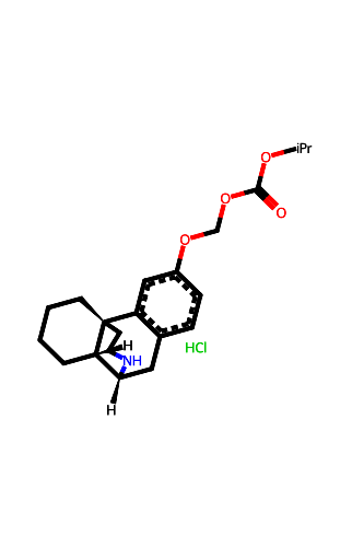 CC(C)OC(=O)OCOc1ccc2c(c1)[C@@]13CCCC[C@H]1[C@@H](C2)NCC3.Cl